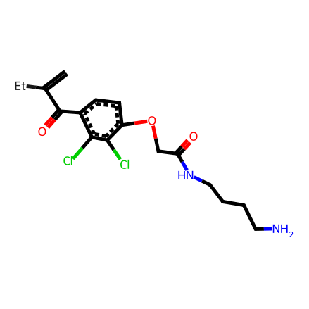 C=C(CC)C(=O)c1ccc(OCC(=O)NCCCCN)c(Cl)c1Cl